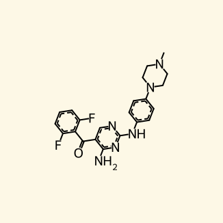 CN1CCN(c2ccc(Nc3ncc(C(=O)c4c(F)cccc4F)c(N)n3)cc2)CC1